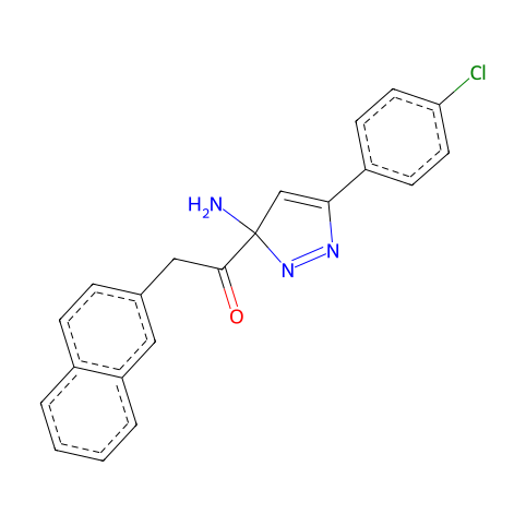 NC1(C(=O)Cc2ccc3ccccc3c2)C=C(c2ccc(Cl)cc2)N=N1